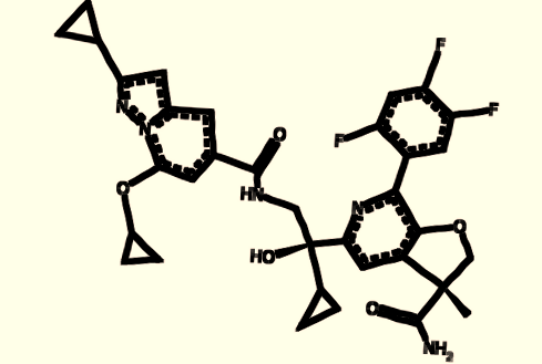 C[C@]1(C(N)=O)COc2c1cc([C@@](O)(CNC(=O)c1cc(OC3CC3)n3nc(C4CC4)cc3c1)C1CC1)nc2-c1cc(F)c(F)cc1F